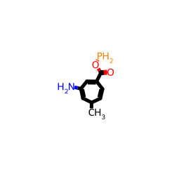 CC1C=CC(C(=O)OP)=CC(N)=C1